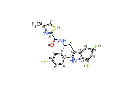 O=C(NCCc1c(-c2ccc(F)cc2)[nH]c2c(F)cc(F)cc12)c1nc(C(F)(F)F)cs1